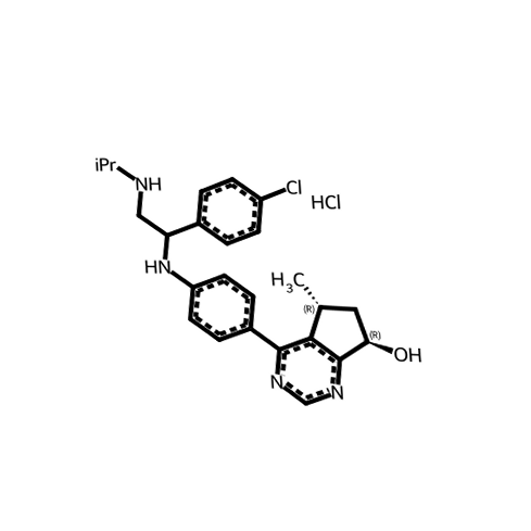 CC(C)NCC(Nc1ccc(-c2ncnc3c2[C@H](C)C[C@H]3O)cc1)c1ccc(Cl)cc1.Cl